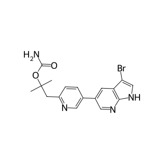 CC(C)(Cc1ccc(-c2cnc3[nH]cc(Br)c3c2)cn1)OC(N)=O